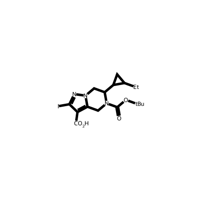 CCC1CC1C1Cn2nc(I)c(C(=O)O)c2CN1C(=O)OC(C)(C)C